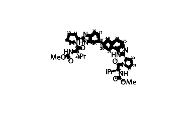 COC(=O)N[C@H](C(=O)N1CCCC[C@H]1c1nc2ccc(-c3ccc4c(ccc5nc([C@@H]6CCCN6C(=O)[C@@H](NC(=O)OC)C(C)C)[nH]c54)c3)cc2[nH]1)C(C)C